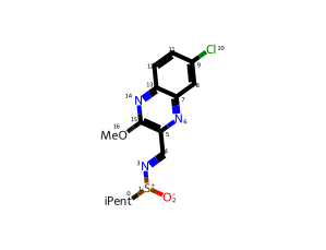 CCCC(C)[S+]([O-])N=Cc1nc2cc(Cl)ccc2nc1OC